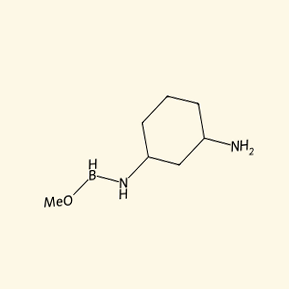 COBNC1CCCC(N)C1